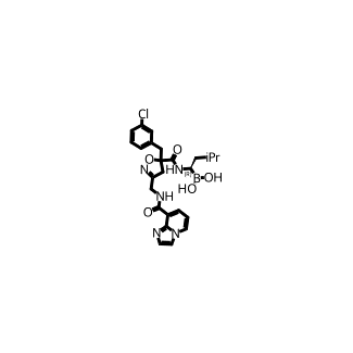 CC(C)C[C@H](NC(=O)C1(Cc2cccc(Cl)c2)CC(CNC(=O)c2cccn3ccnc23)=NO1)B(O)O